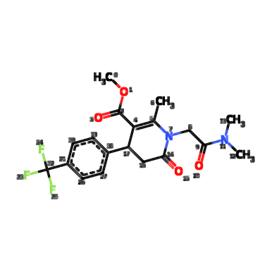 COC(=O)C1=C(C)N(CC(=O)N(C)C)C(=O)CC1c1ccc(C(F)(F)F)cc1